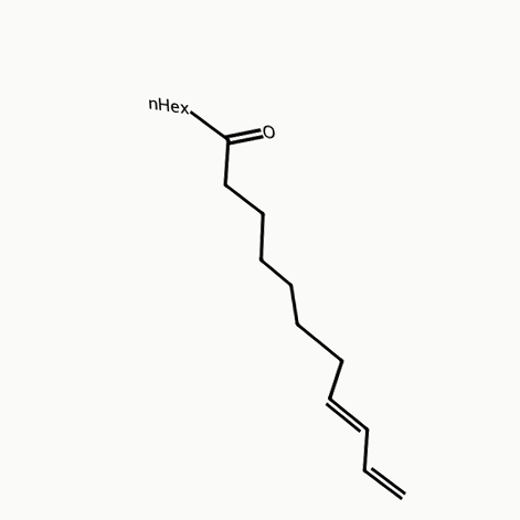 C=CC=CCCCCCCC(=O)CCCCCC